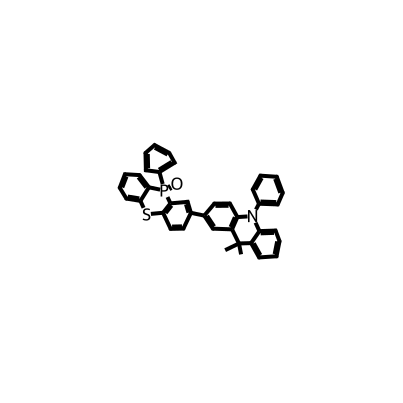 CC1(C)c2ccccc2N(c2ccccc2)c2ccc(-c3ccc4c(c3)P(=O)(c3ccccc3)c3ccccc3S4)cc21